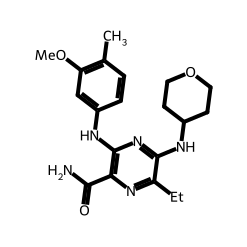 CCc1nc(C(N)=O)c(Nc2ccc(C)c(OC)c2)nc1NC1CCOCC1